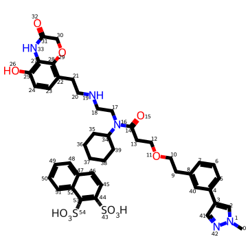 Cn1cc(-c2cccc(CCOCCC(=O)N(CCNCCc3ccc(O)c4c3OCC(=O)N4)C3CCCCC3)c2)cn1.O=S(=O)(O)c1ccc2ccccc2c1S(=O)(=O)O